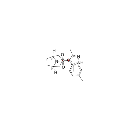 Cc1ccc(O[C@@H]2C[C@H]3CC[C@@H](C2)N3S(=O)(=O)c2c(C)n[nH]c2C)cc1